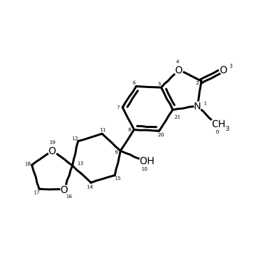 Cn1c(=O)oc2ccc(C3(O)CCC4(CC3)OCCO4)cc21